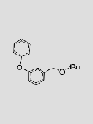 CC(C)(C)OCc1cccc(Oc2ccccc2)c1